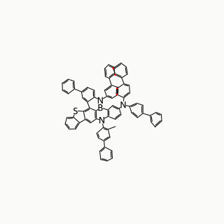 Cc1cc(-c2ccccc2)ccc1N1c2ccc(N(c3ccc(-c4ccccc4)cc3)c3ccc(-c4ccccc4)cc3)cc2B2c3c1cc1c(sc4ccccc41)c3-c1cc(-c3ccccc3)ccc1N2c1cccc(-c2ccccc2)c1